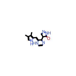 Cc1c[nH]c(C=C2NC=CN=C2C2C=NNC2=O)c1C